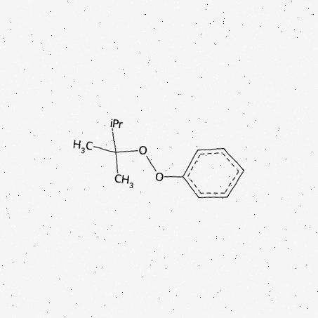 CC(C)C(C)(C)OOc1ccccc1